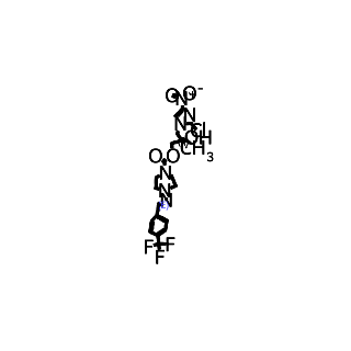 C[C@](O)(COC(=O)N1CCN(/N=C/c2ccc(C(F)(F)F)cc2)CC1)Cn1cc([N+](=O)[O-])nc1Cl